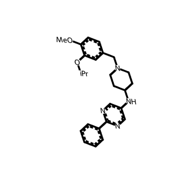 COc1ccc(CN2CCC(Nc3cnc(-c4ccccc4)nc3)CC2)cc1OC(C)C